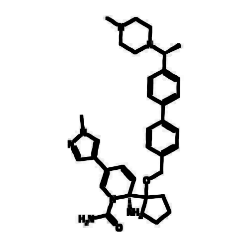 C[C@@H](c1ccc(-c2ccc(COC3([C@]4(N)C=CC(c5cnn(C)c5)=CN4C(N)=O)CCCC3)cc2)cc1)N1CCN(C)CC1